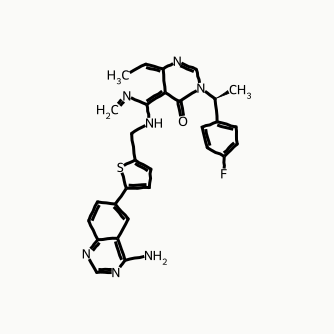 C=N/C(NCc1ccc(-c2ccc3ncnc(N)c3c2)s1)=c1/c(=O)n([C@@H](C)c2ccc(F)cc2)cn/c1=C/C